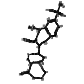 CN1C(=O)N(C2CCN3C(=O)CCCC3C2)Cc2cnc(S(C)(=O)=O)nc21